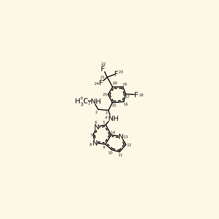 CNCC(Nc1ncnc2cccnc12)c1cc(F)cc(C(F)(F)F)c1